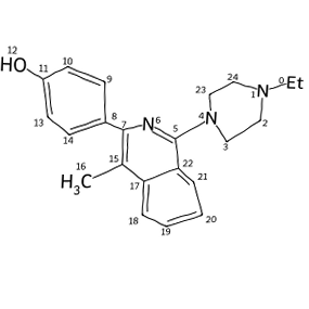 CCN1CCN(c2nc(-c3ccc(O)cc3)c(C)c3ccccc23)CC1